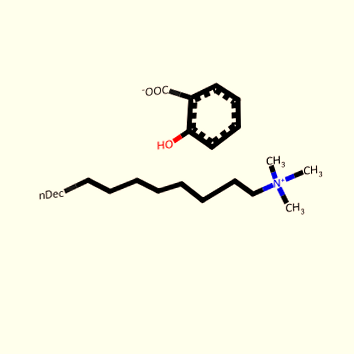 CCCCCCCCCCCCCCCCCC[N+](C)(C)C.O=C([O-])c1ccccc1O